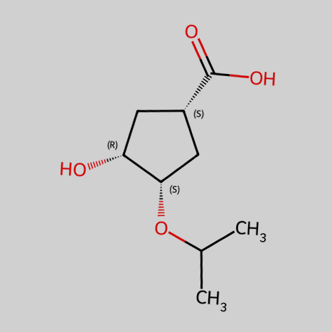 CC(C)O[C@H]1C[C@@H](C(=O)O)C[C@H]1O